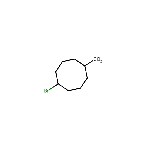 O=C(O)C1CCCC(Br)CCC1